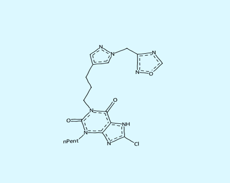 CCCCCn1c(=O)n(CCCc2cnn(Cc3ncon3)c2)c(=O)c2[nH]c(Cl)nc21